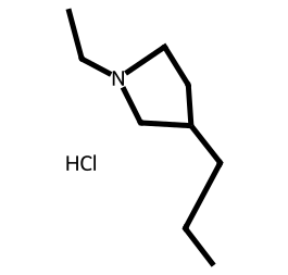 CCCC1CCN(CC)C1.Cl